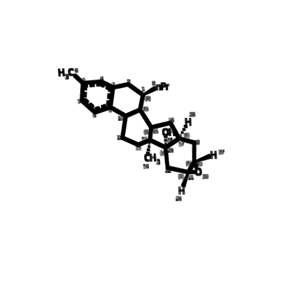 CCC[C@@H]1Cc2cc(C)ccc2C2CC[C@@]3(C)C(C[C@H]4C[C@@H]5O[C@@H]5C[C@]43O)C21